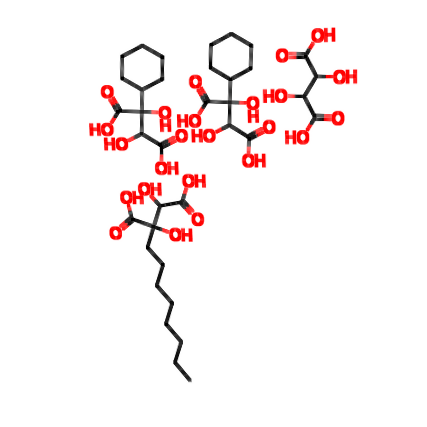 CCCCCCCCC(O)(C(=O)O)C(O)C(=O)O.O=C(O)C(O)C(O)(C(=O)O)C1CCCCC1.O=C(O)C(O)C(O)(C(=O)O)C1CCCCC1.O=C(O)C(O)C(O)C(=O)O